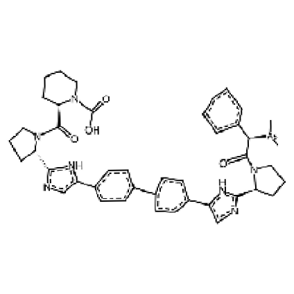 C[As](C)[C@@H](C(=O)N1CCC[C@H]1c1ncc(-c2ccc(-c3ccc(-c4cnc([C@@H]5CCCN5C(=O)[C@H]5CCCCN5C(=O)O)[nH]4)cc3)cc2)[nH]1)c1ccccc1